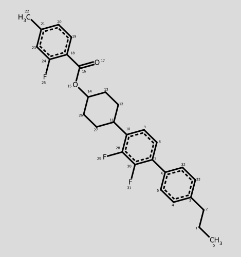 CCCc1ccc(-c2ccc(C3CCC(OC(=O)c4ccc(C)cc4F)CC3)c(F)c2F)cc1